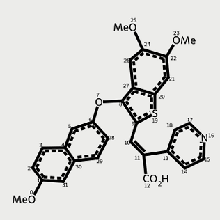 COc1ccc2cc(Oc3c(C=C(C(=O)O)c4ccncc4)sc4cc(OC)c(OC)cc34)ccc2c1